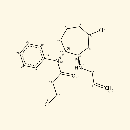 C=CCN[C@@H]1CC(Cl)CCC[C@H]1N(C(=O)CCCl)c1ccccc1